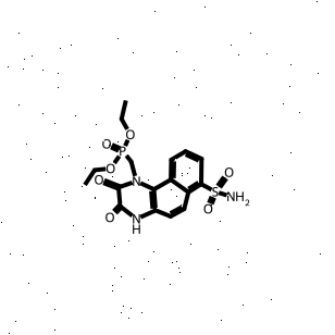 CCOP(=O)(Cn1c(=O)c(=O)[nH]c2ccc3c(S(N)(=O)=O)cccc3c21)OCC